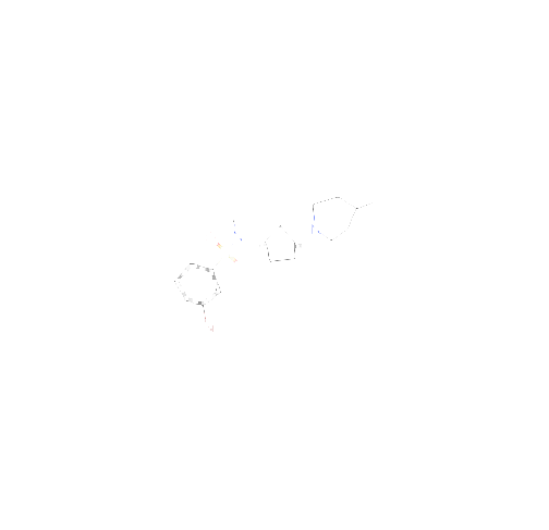 CC1CCN([C@@H]2CC[C@H](N(C)S(=O)(=O)c3cccc(Br)c3)C2)CC1